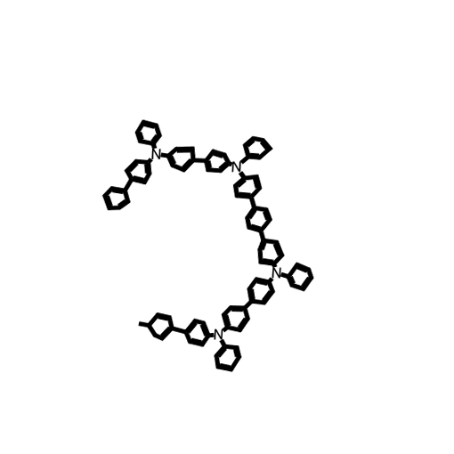 CC1C=CC(c2ccc(N(c3ccccc3)c3ccc(-c4ccc(N(c5ccccc5)c5ccc(-c6ccc(-c7ccc(N(c8ccccc8)c8ccc(-c9ccc(N(c%10ccccc%10)c%10ccc(-c%11ccccc%11)cc%10)cc9)cc8)cc7)cc6)cc5)cc4)cc3)cc2)=CC1